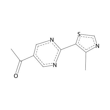 CC(=O)c1cnc(-c2scnc2C)nc1